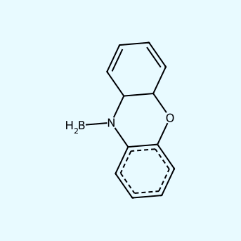 BN1c2ccccc2OC2C=CC=CC21